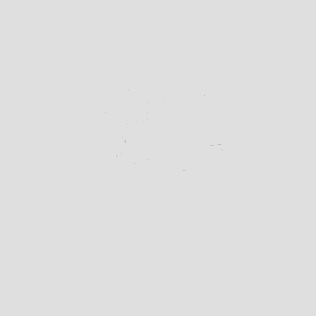 CC1CCC(c2cccc(O)c2Cc2c(O)cccc2C2CCC(C)C2)C1